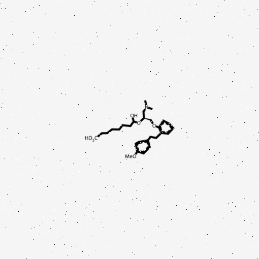 COc1ccc(CCc2ccccc2OC[C@H](CN(C)C)OC(O)CCCCCCC(=O)O)cc1